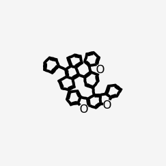 c1ccc(-c2c3ccccc3c(-c3cc(-c4c5c(cc6oc7ccccc7c46)oc4ccccc45)cc4oc5ccccc5c34)c3ccccc23)cc1